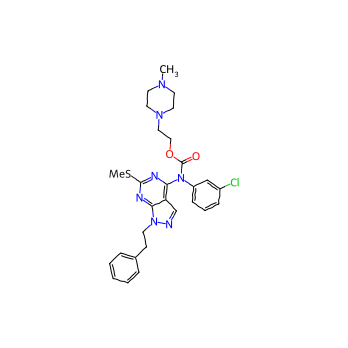 CSc1nc(N(C(=O)OCCN2CCN(C)CC2)c2cccc(Cl)c2)c2cnn(CCc3ccccc3)c2n1